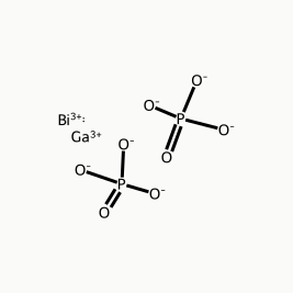 O=P([O-])([O-])[O-].O=P([O-])([O-])[O-].[Bi+3].[Ga+3]